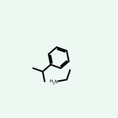 CC(C)c1ccccc1.CCN